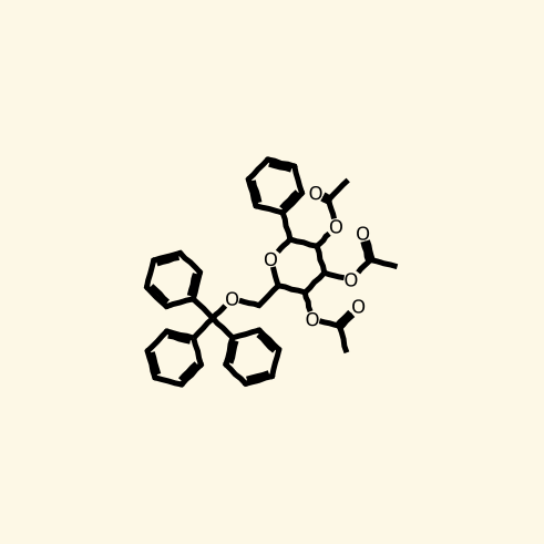 CC(=O)OC1C(COC(c2ccccc2)(c2ccccc2)c2ccccc2)OC(c2ccccc2)C(OC(C)=O)C1OC(C)=O